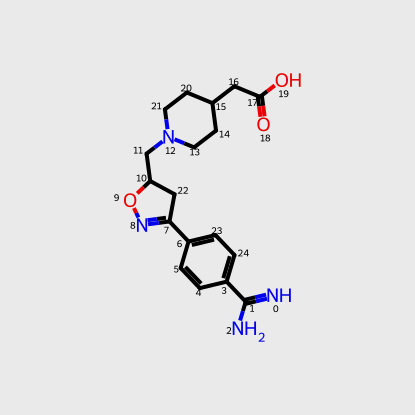 N=C(N)c1ccc(C2=NOC(CN3CCC(CC(=O)O)CC3)C2)cc1